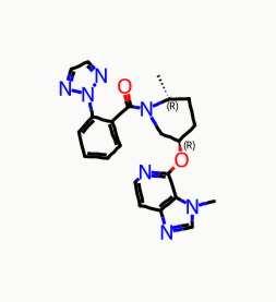 C[C@@H]1CC[C@@H](Oc2nccc3ncn(C)c23)CN1C(=O)c1ccccc1-n1nccn1